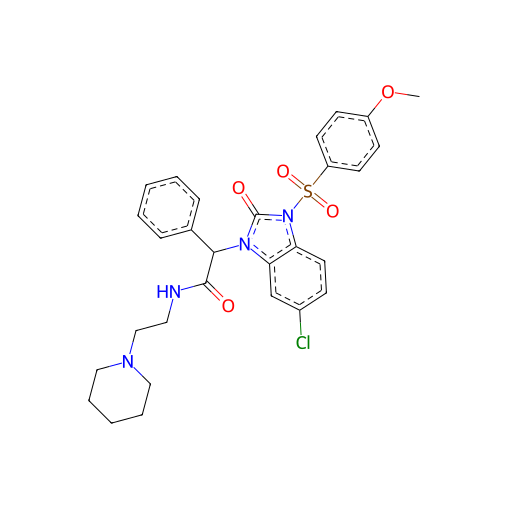 COc1ccc(S(=O)(=O)n2c(=O)n(C(C(=O)NCCN3CCCCC3)c3ccccc3)c3cc(Cl)ccc32)cc1